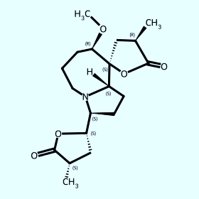 CO[C@@H]1CCCN2[C@@H](CC[C@H]2[C@@H]2C[C@H](C)C(=O)O2)[C@@]12C[C@@H](C)C(=O)O2